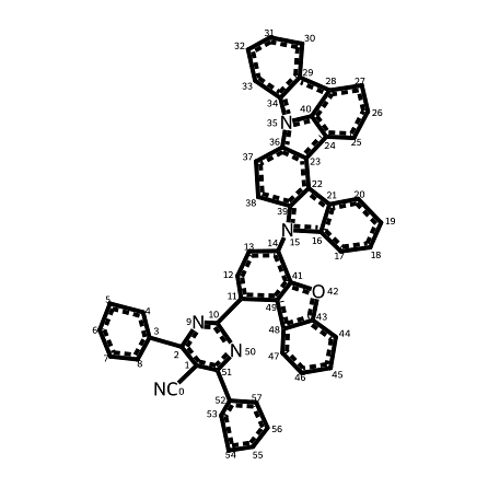 N#Cc1c(-c2ccccc2)nc(-c2ccc(-n3c4ccccc4c4c5c6cccc7c8ccccc8n(c5ccc43)c76)c3oc4ccccc4c23)nc1-c1ccccc1